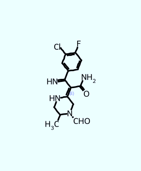 CC1CN/C(=C(\C(=N)c2ccc(F)c(Cl)c2)C(N)=O)CN1C=O